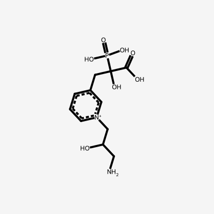 NCC(O)C[n+]1cccc(CC(O)(C(=O)O)P(=O)(O)O)c1